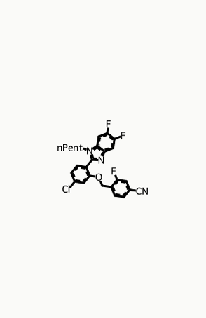 CCCCCn1c(-c2ccc(Cl)cc2OCc2ccc(C#N)cc2F)nc2cc(F)c(F)cc21